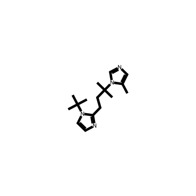 Cc1cncn1C(C)(C)CCc1nccn1C(C)(C)C